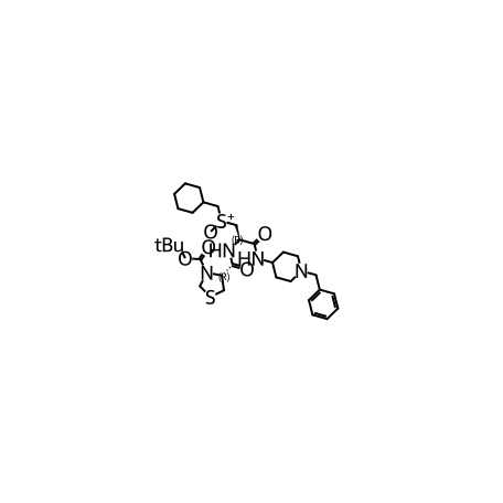 CC(C)(C)OC(=O)N1CSC[C@H]1C(=O)N[C@@H](C[S+]([O-])CC1CCCCC1)C(=O)NC1CCN(Cc2ccccc2)CC1